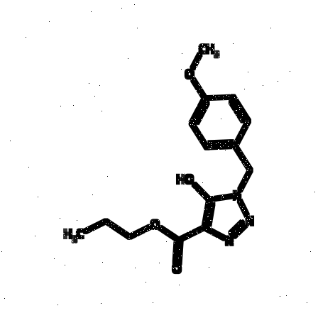 CCCOC(=O)c1nnn(Cc2ccc(OC)cc2)c1O